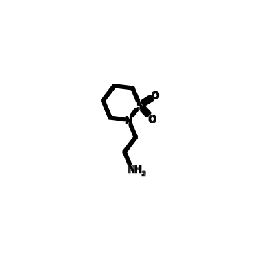 NCCN1CCCCS1(=O)=O